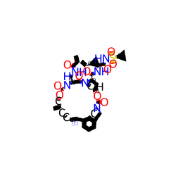 C=CC(=O)NC[C@@H]1NC(=O)OCC(=C)CC/C=C/c2cccc3c2CN(C3)C(=O)O[C@@H]2C[C@@H](C(=O)N[C@]3(C(=O)NS(=O)(=O)C4CC4)C[C@H]3C=C)N(C2)C1=O